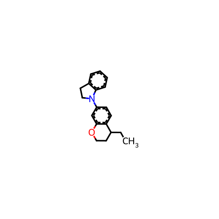 CCC1CCOc2cc(N3CCc4ccccc43)ccc21